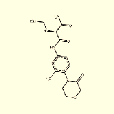 CC(C)(C)CN[C@@H](C(N)=O)C(=O)Nc1ccc(N2CCOCC2=O)c(C(F)(F)F)c1